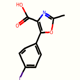 Cc1nc(C(=O)O)c(-c2ccc(I)cc2)o1